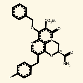 CCOC(=O)c1c(OCc2ccccc2)c2ncc(Cc3ccc(F)cc3)c3c2n(c1=O)C[C@@H](C(N)=O)O3